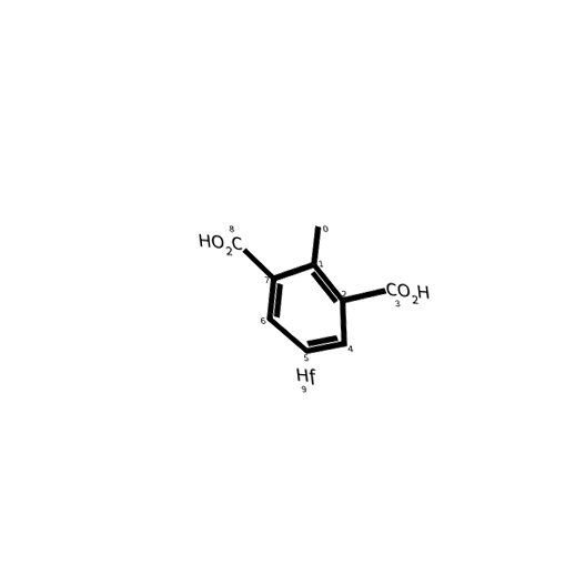 Cc1c(C(=O)O)cccc1C(=O)O.[Hf]